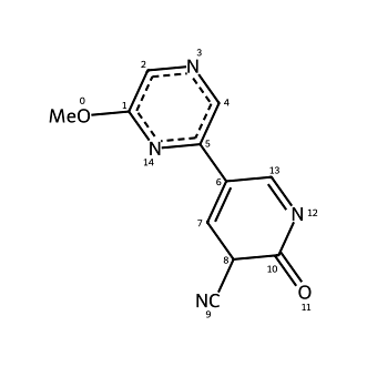 COc1cncc(C2=CC(C#N)C(=O)N=C2)n1